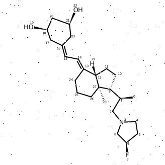 C[C@@H](CN1CC[C@@H](F)C1)[C@H]1CC[C@H]2/C(=C/C=C3/C[C@@H](O)C[C@@H](O)C3)CCC[C@]12C